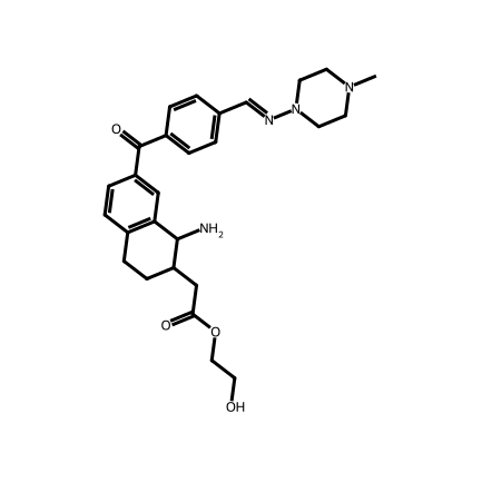 CN1CCN(N=Cc2ccc(C(=O)c3ccc4c(c3)C(N)C(CC(=O)OCCO)CC4)cc2)CC1